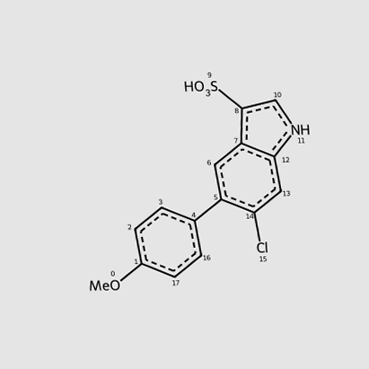 COc1ccc(-c2cc3c(S(=O)(=O)O)c[nH]c3cc2Cl)cc1